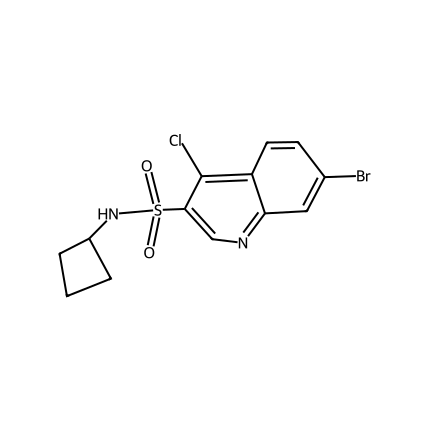 O=S(=O)(NC1CCC1)c1cnc2cc(Br)ccc2c1Cl